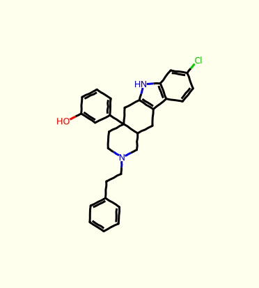 Oc1cccc(C23CCN(CCc4ccccc4)CC2Cc2c([nH]c4cc(Cl)ccc24)C3)c1